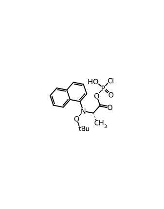 C[C@@H](C(=O)OP(=O)(O)Cl)N(OC(C)(C)C)c1cccc2ccccc12